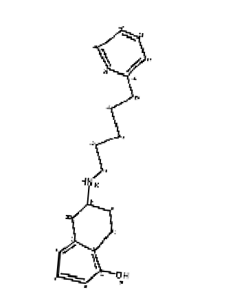 Oc1cccc2c1CCC(NCCCCCc1ccccc1)C2